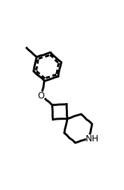 Cc1cccc(OC2CC3(CCNCC3)C2)c1